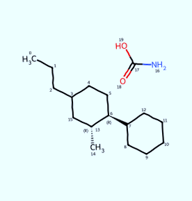 CCCC1CC[C@@H](C2CCCCC2)[C@H](C)C1.NC(=O)O